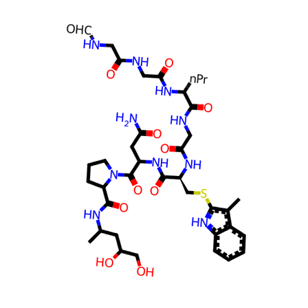 CCCC(NC(=O)CNC(=O)CNC=O)C(=O)NCC(=O)N[C@@H](CSc1[nH]c2ccccc2c1C)C(=O)NC(CC(N)=O)C(=O)N1CCCC1C(=O)NC(C)CC(O)CO